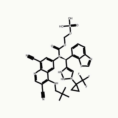 CC(C)(C)CNc1c(C#N)cnc2c(C#N)cc(N(C(=O)OCOP(=O)(O)O)[C@H](C3=CN(C4(C(F)(F)F)CC4)NN3)c3cccc4ncsc34)cc12